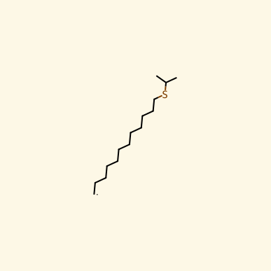 [CH2]CCCCCCCCCCCSC(C)C